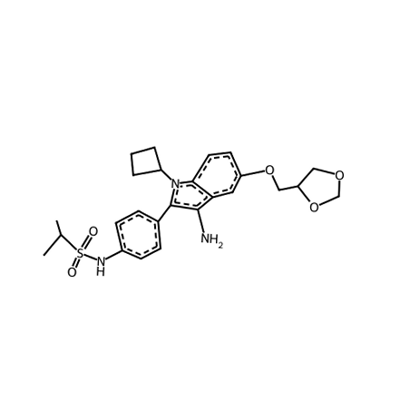 CC(C)S(=O)(=O)Nc1ccc(-c2c(N)c3cc(OCC4COCO4)ccc3n2C2CCC2)cc1